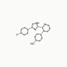 Oc1ccc(-c2cccnc2-c2nc(-c3ccc(F)cc3)c[nH]2)cc1